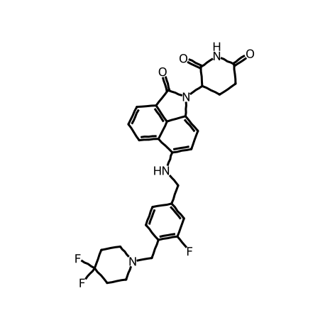 O=C1CCC(N2C(=O)c3cccc4c(NCc5ccc(CN6CCC(F)(F)CC6)c(F)c5)ccc2c34)C(=O)N1